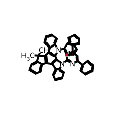 CC1(C)c2ccccc2-c2c1c1c3ccccc3n(-c3ccccc3)c1c1c2c2ccccc2n1-c1nc(-c2ccccc2)cc(-c2ccccc2)n1